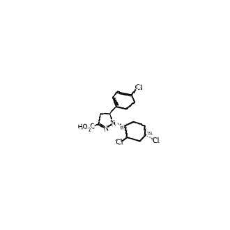 O=C(O)C1=NN([C@@H]2CC[C@H](Cl)CC2Cl)C(C2=CC=C(Cl)CC2)C1